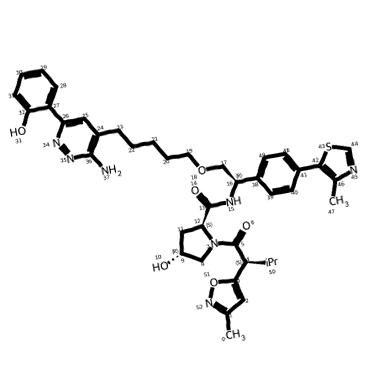 Cc1cc([C@@H](C(=O)N2C[C@H](O)C[C@H]2C(=O)N[C@@H](COCCCCCc2cc(-c3ccccc3O)nnc2N)c2ccc(-c3scnc3C)cc2)C(C)C)on1